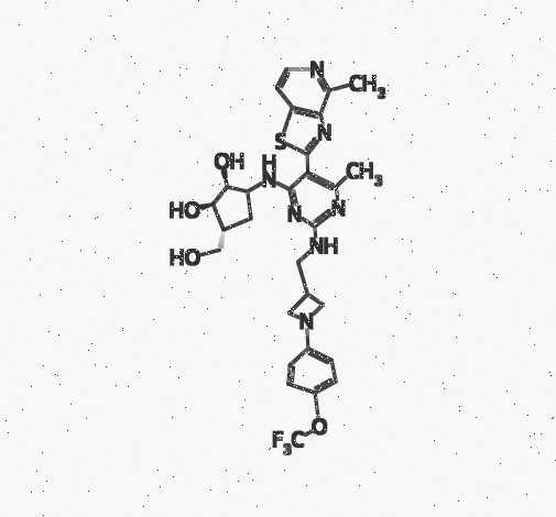 Cc1nc(NCC2CN(c3ccc(OC(F)(F)F)cc3)C2)nc(NC2C[C@H](CO)[C@@H](O)[C@H]2O)c1-c1nc2c(C)nccc2s1